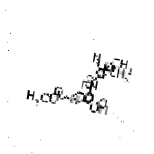 CCOC(=O)CCCN1CCc2c(cccc2-c2noc(-c3ccc(OC(C)C)c(C#N)c3)n2)C1.O=CO